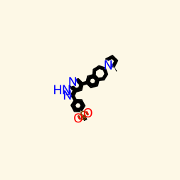 C[C@H]1CCCN1C1CCc2ccc(-c3cnc4[nH]nc(-c5ccc(S(C)(=O)=O)cc5)c4c3)cc2CC1